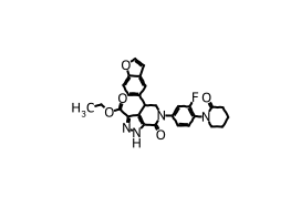 CCOC(=O)c1n[nH]c2c1C(c1ccc3occc3c1)CN(c1ccc(N3CCCCC3=O)c(F)c1)C2=O